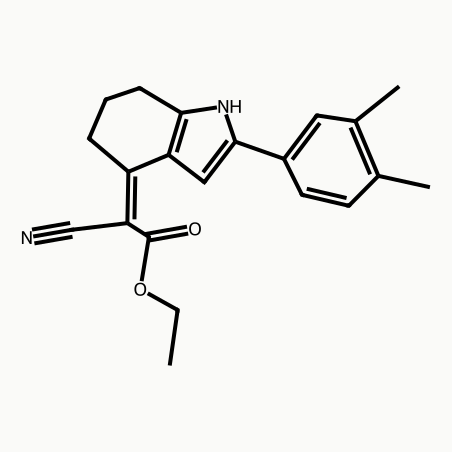 CCOC(=O)C(C#N)=C1CCCc2[nH]c(-c3ccc(C)c(C)c3)cc21